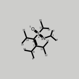 CC(C)N=S(=O)(C(=C(C(C)C)C(C)C)C(C)C)C(C)C